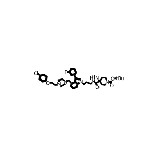 CC(C)(C)OC(=O)N1CCC(N)(C(=O)NCCCn2cc(-c3cccc(F)c3)c3c(CN4CCN(CCOc5ccc(Cl)cc5)CC4)cccc32)CC1